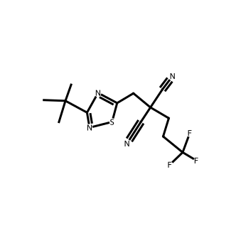 CC(C)(C)c1nsc(CC(C#N)(C#N)CCC(F)(F)F)n1